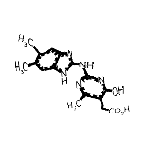 Cc1cc2nc(Nc3nc(C)c(CC(=O)O)c(O)n3)[nH]c2cc1C